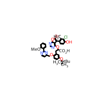 COc1ccccc1-c1nccc(COc2ccc(O[Si](C)(C)C(C)(C)C)cc2CC(Oc2ncnc3oc(Br)c(-c4ccc(O)c(Cl)c4C)c23)C(=O)O)n1